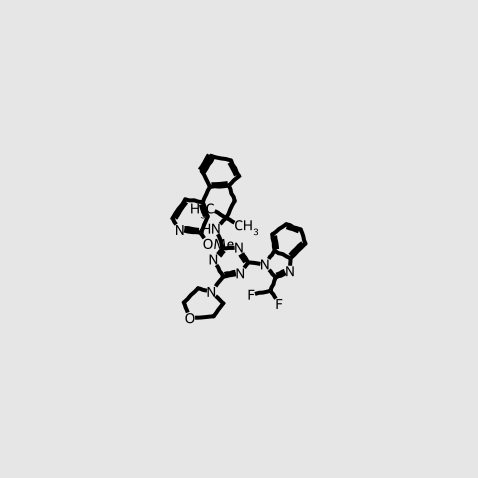 COc1cc(-c2c#cccc2CC(C)(C)Nc2nc(N3CCOCC3)nc(-n3c(C(F)F)nc4ccccc43)n2)ccn1